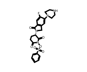 O=C1CC[C@H](N2Cc3cc(N4CCNCC4)c(F)cc3C2=O)C(=O)N1OS(=O)(=O)c1ccccc1